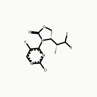 C[C@@H](C(F)F)[C@H]1COC(=O)N1c1nc(Cl)ncc1F